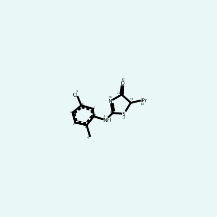 Cc1ccc(Cl)cc1NC1=NC(=O)C(C(C)C)S1